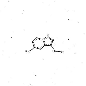 CCNc1n[nH]c2ccc(C)cc12